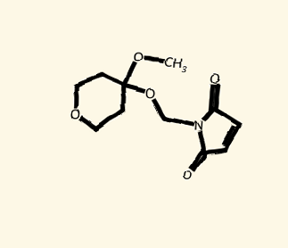 COC1(OCN2C(=O)C=CC2=O)CCOCC1